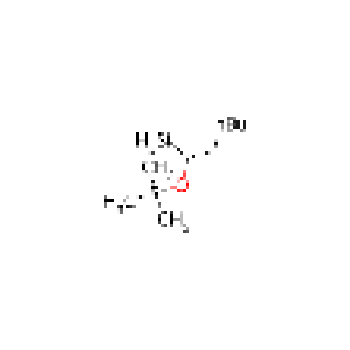 CCCCCC([SiH3])O[Si](C)(C)C